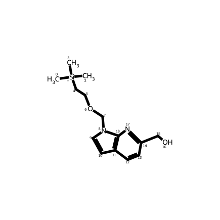 C[Si](C)(C)CCOCn1ccc2ccc(CO)nc21